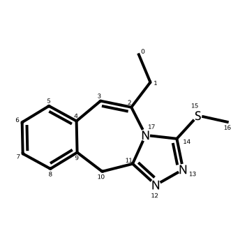 CCC1=Cc2ccccc2Cc2nnc(SC)n21